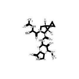 CC(C)(C)C(NC(=O)C(F)(F)F)C(=O)N1C[C@H]2[C@@H]([C@H]1C(=O)NC(C[C@@H]1CCNC1=O)C(=O)COC(F)(F)F)C21CC1